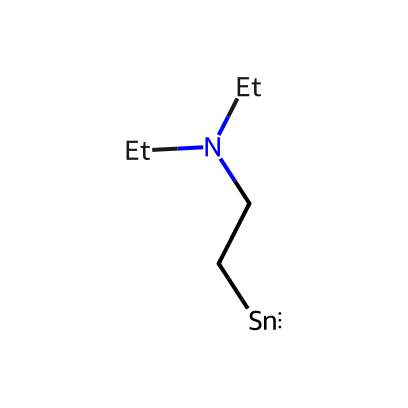 CCN(CC)C[CH2][Sn]